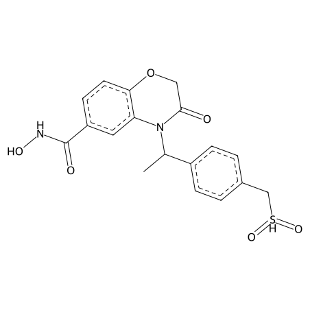 CC(c1ccc(C[SH](=O)=O)cc1)N1C(=O)COc2ccc(C(=O)NO)cc21